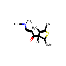 CSC1SC(C#N)=C(C)C1(C)C(=O)/C=C/N(C)C